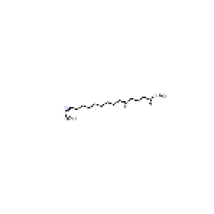 CCCCCCCC/C=C\CCCCCCCCNCCCNCCCCCC